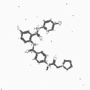 CN(C(=O)CN1CCCC1)c1ccc(C(=O)Nc2ccc(F)cc2C(=O)Nc2ccc(Cl)cn2)cc1